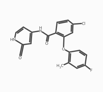 Cc1cc(F)ccc1Oc1cc(Cl)ccc1C(=O)Nc1cc[nH]c(=O)c1